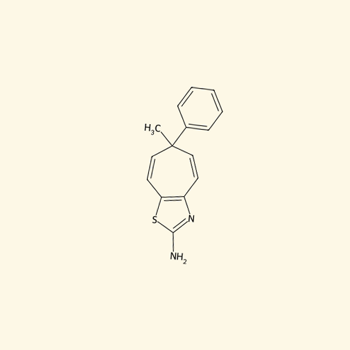 CC1(c2ccccc2)C=Cc2nc(N)sc2C=C1